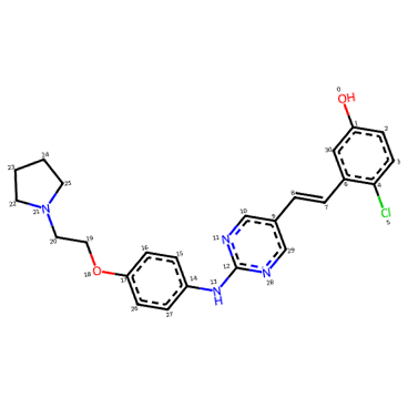 Oc1ccc(Cl)c(/C=C/c2cnc(Nc3ccc(OCCN4CCCC4)cc3)nc2)c1